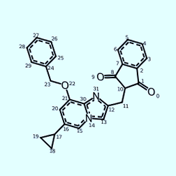 O=C1c2ccccc2C(=O)C1Cc1cn2cc(C3CC3)cc(OCc3ccccc3)c2n1